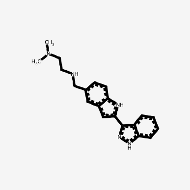 CN(C)CCNCc1ccc2[nH]c(-c3n[nH]c4ccccc34)cc2c1